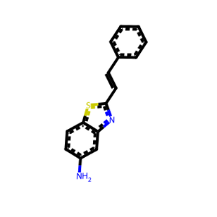 Nc1ccc2sc(/C=C/c3ccccc3)nc2c1